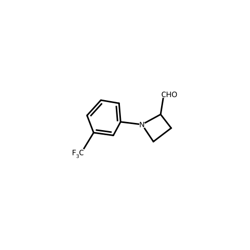 O=CC1CCN1c1cccc(C(F)(F)F)c1